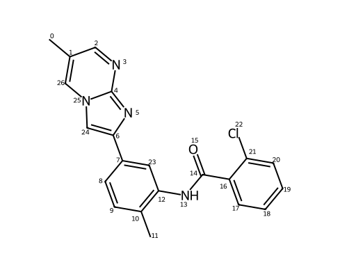 Cc1cnc2nc(-c3ccc(C)c(NC(=O)c4ccccc4Cl)c3)cn2c1